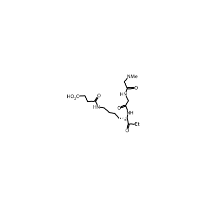 CCC(=O)[C@H](CCCCNC(=O)CCC(=O)O)NC(=O)CNC(=O)CNC